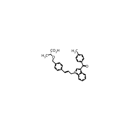 Cc1ccc(C(=O)c2cn(C/C=C/c3ccc(CO[C@H](C)C(=O)O)cc3)c3ccccc23)cc1